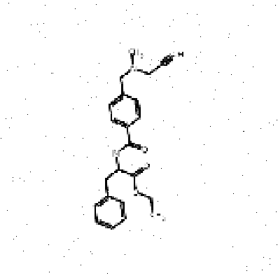 C#CCN(C)Cc1ccc(C(=O)NC(Cc2ccccc2)C(=O)OCC)cc1